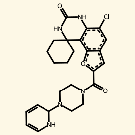 O=C1Nc2c(Cl)cc3cc(C(=O)N4CCN(C5C=CC=CN5)CC4)oc3c2C2(CCCCC2)N1